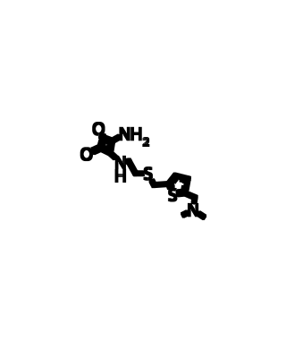 CN(C)Cc1ccc(CSCCNc2c(N)c(=O)c2=O)s1